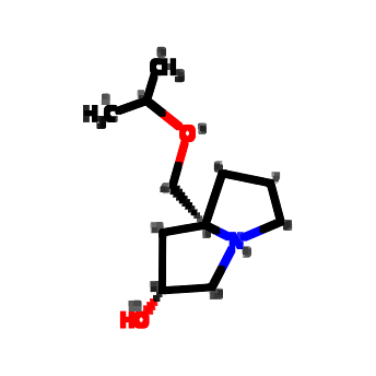 CC(C)OC[C@]12CCCN1C[C@H](O)C2